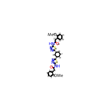 COc1ccccc1CC(=O)Nc1nnc([C@@H]2CCC[C@@H](c3nnc(NC(=O)Cc4ccccc4OC)s3)C2)s1